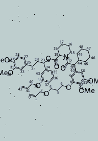 C=CCOCCCOc1cc([C@@H](C(=O)N2CCCCC2C(=O)OC(CCc2ccc(OC)c(OC)c2)c2cccc(OCC=C)c2)C2CCCCC2)cc(OC)c1OC